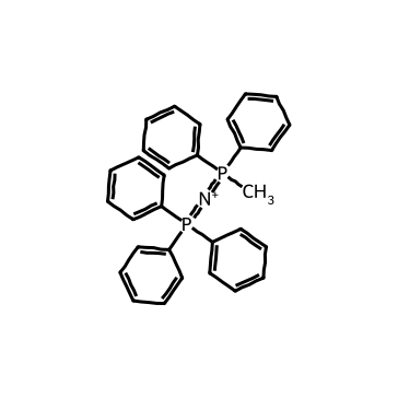 CP(=[N+]=P(c1ccccc1)(c1ccccc1)c1ccccc1)(c1ccccc1)c1ccccc1